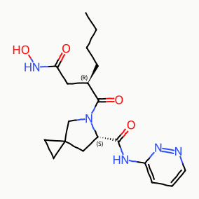 CCCC[C@H](CC(=O)NO)C(=O)N1CC2(CC2)C[C@H]1C(=O)Nc1cccnn1